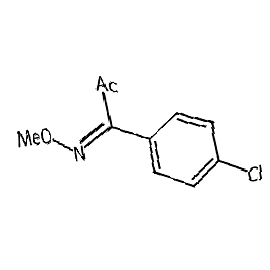 CON=C(C(C)=O)c1ccc(Cl)cc1